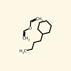 C=COC=C.CCCCC1CCCCC1